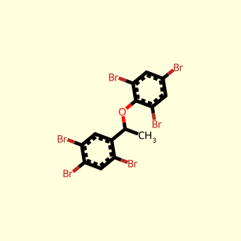 CC(Oc1c(Br)cc(Br)cc1Br)c1cc(Br)c(Br)cc1Br